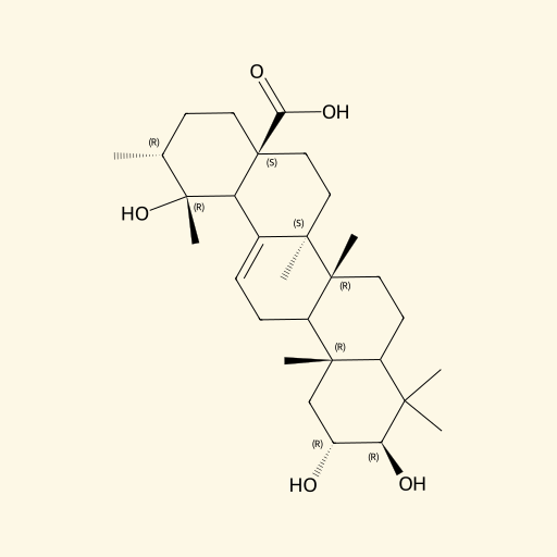 C[C@@H]1CC[C@]2(C(=O)O)CC[C@]3(C)C(=CCC4[C@@]5(C)C[C@@H](O)[C@H](O)C(C)(C)C5CC[C@]43C)C2[C@]1(C)O